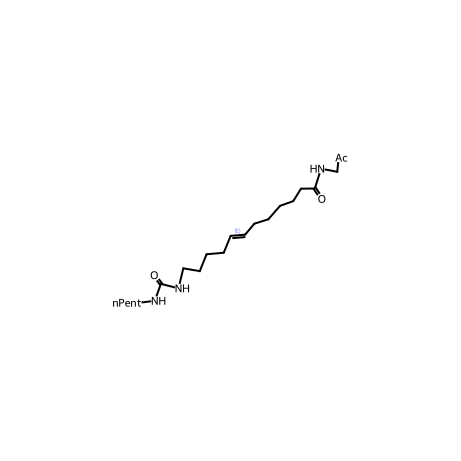 CCCCCNC(=O)NCCCC/C=C/CCCCCC(=O)NCC(C)=O